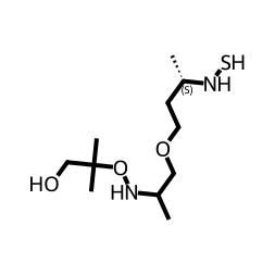 CC(COCC[C@H](C)NS)NOC(C)(C)CO